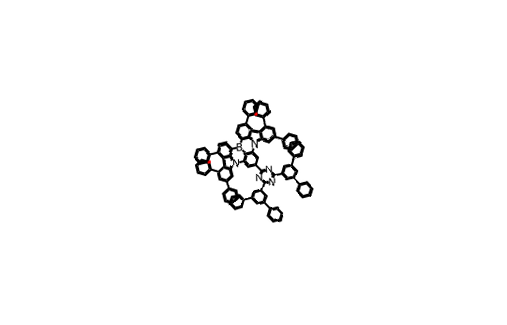 c1ccc(-c2cc(-c3ccccc3)cc(-c3nc(-c4cc(-c5ccccc5)cc(-c5ccccc5)c4)nc(-c4cc5c6c(c4)-n4c7cc(-c8ccccc8)cc(-c8ccccc8)c7c7c(-c8ccccc8)ccc(c74)B6c4ccc(-c6ccccc6)c6c7c(-c8ccccc8)cc(-c8ccccc8)cc7n-5c46)n3)c2)cc1